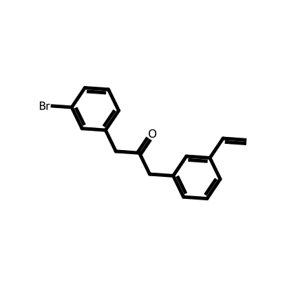 C=Cc1cccc(CC(=O)Cc2cccc(Br)c2)c1